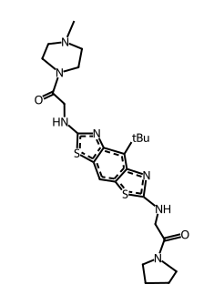 CN1CCN(C(=O)CNc2nc3c(C(C)(C)C)c4nc(NCC(=O)N5CCCC5)sc4cc3s2)CC1